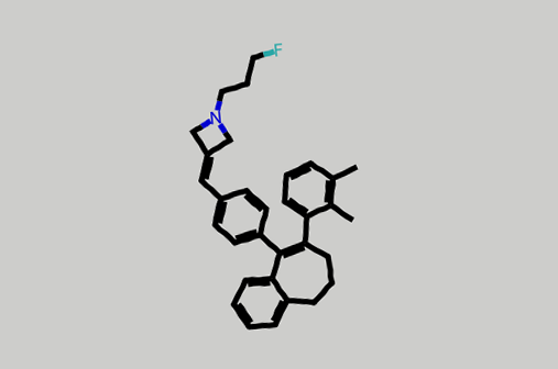 Cc1cccc(C2=C(c3ccc(C=C4CN(CCCF)C4)cc3)c3ccccc3CCC2)c1C